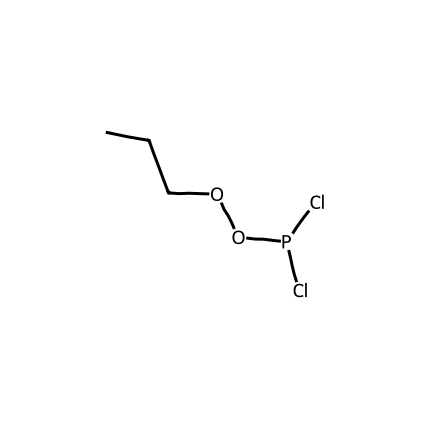 CCCOOP(Cl)Cl